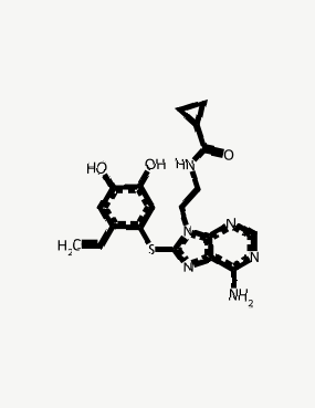 C=Cc1cc(O)c(O)cc1Sc1nc2c(N)ncnc2n1CCNC(=O)C1CC1